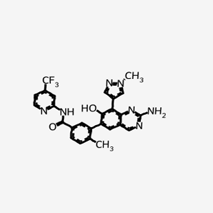 Cc1ccc(C(=O)Nc2cc(C(F)(F)F)ccn2)cc1-c1cc2cnc(N)nc2c(-c2cnn(C)c2)c1O